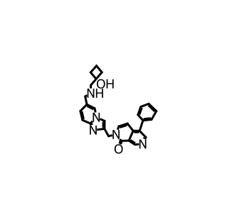 O=c1c2cncc(-c3ccccc3)c2ccn1Cc1cn2cc(CNCC3(O)CCC3)ccc2n1